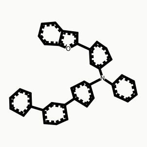 c1ccc(-c2cccc(-c3ccc(N(c4ccccc4)c4cccc(-c5cc6ccccc6o5)c4)cc3)c2)cc1